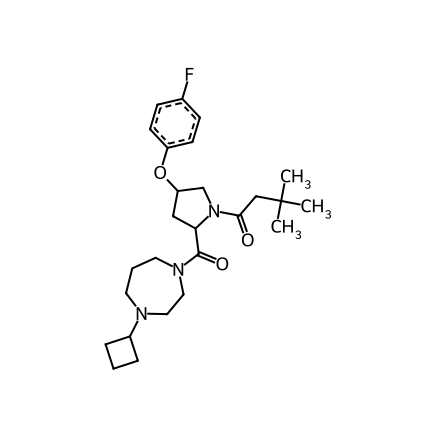 CC(C)(C)CC(=O)N1CC(Oc2ccc(F)cc2)CC1C(=O)N1CCCN(C2CCC2)CC1